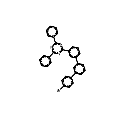 Brc1ccc(-c2cccc(-c3cccc(-c4nc(-c5ccccc5)nc(-c5ccccc5)n4)c3)c2)cc1